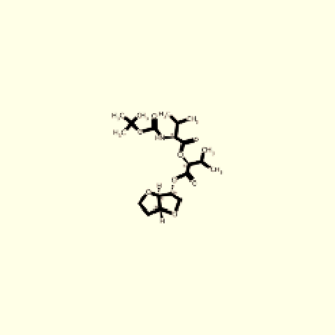 CC(C)[C@H](NC(=O)OC(C)(C)C)C(=O)O[C@H](C(=O)O[C@@H]1CO[C@@H]2[CH]CO[C@H]21)C(C)C